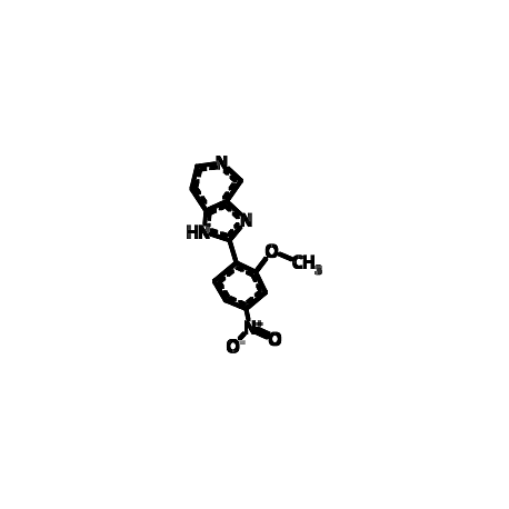 COc1cc([N+](=O)[O-])ccc1-c1nc2cnccc2[nH]1